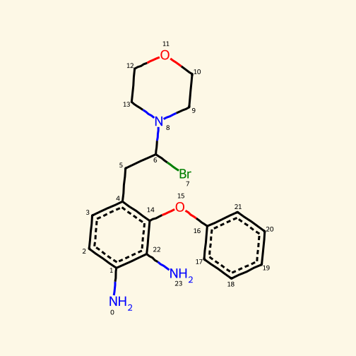 Nc1ccc(CC(Br)N2CCOCC2)c(Oc2ccccc2)c1N